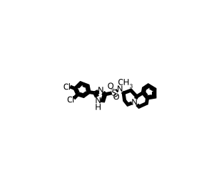 CN(C1CCN2CCc3ccccc3C2C1)S(=O)(=O)c1c[nH]c(-c2ccc(Cl)c(Cl)c2)n1